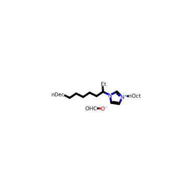 CCCCCCCCCCCCCCCC(CC)n1cc[n+](CCCCCCCC)c1.O=C[O-]